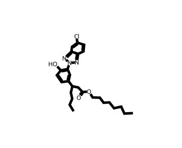 CCCCCCCCOC(=O)CC(CCCC)c1ccc(O)c(-n2nc3ccc(Cl)cc3n2)c1